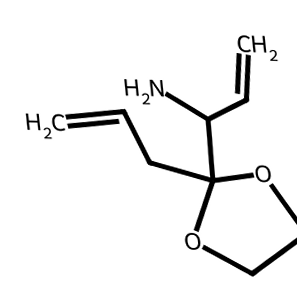 C=CCC1(C(N)C=C)OCCO1